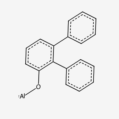 [Al][O]c1cccc(-c2ccccc2)c1-c1ccccc1